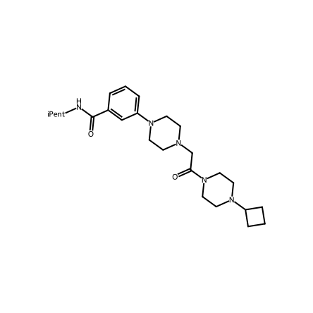 CCCC(C)NC(=O)c1cccc(N2CCN(CC(=O)N3CCN(C4CCC4)CC3)CC2)c1